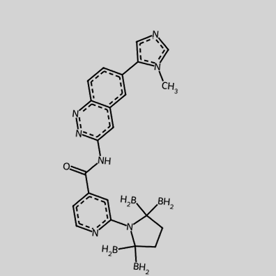 BC1(B)CCC(B)(B)N1c1cc(C(=O)Nc2cc3cc(-c4cncn4C)ccc3nn2)ccn1